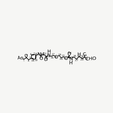 CC(=O)CC(=O)Cc1ccc(NC(=O)CC(=O)NCCOCCCOC(=O)NCCCCC(C)C=O)cc1